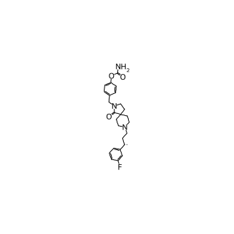 NC(=O)Oc1ccc(CN2CCC3(CCN(CC[CH]c4cccc(F)c4)CC3)C2=O)cc1